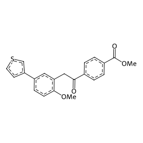 COC(=O)c1ccc(C(=O)Cc2cc(-c3ccsc3)ccc2OC)cc1